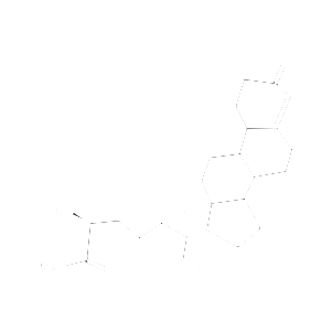 COC(=O)[C@@H](C)CCCC(C)[C@H]1CCC2C3CCC4=CC(=O)CC[C@]4(C)C3CC[C@@]21C